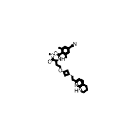 COC(=O)C(CCO[C@H]1C[C@@H](CCc2ccc3c(n2)NCCC3)C1)NC(=O)c1c(C)cc(C#N)cc1C